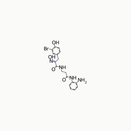 Nc1ccccc1NC(=O)CCNC(=O)/C(Cc1ccc(O)c(Br)c1)=N/O